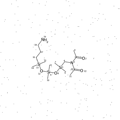 CC(=O)N(C[Si](C)(C)O[Si](C)(C)O[Si](C)(C)CCCN)C(C)=O